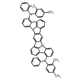 Cc1ccc(N(c2ccccc2)c2cccc3c2c2cccc4c5cc6c(cc5n3c42)c2cccc3c4c(N(c5ccccc5)c5ccc(C)cc5C)cccc4n6c23)c(C)c1